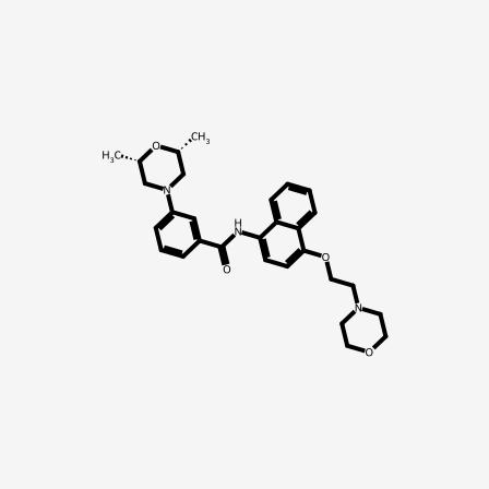 C[C@@H]1CN(c2cccc(C(=O)Nc3ccc(OCCN4CCOCC4)c4ccccc34)c2)C[C@H](C)O1